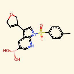 Cc1ccc(S(=O)(=O)n2cc(C3=CCOC3)c3cc(B(O)O)cnc32)cc1